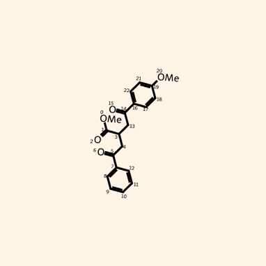 COC(=O)C(CC(=O)c1ccccc1)CC(=O)c1ccc(OC)cc1